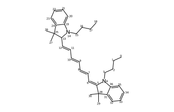 CCCCN1C(=CC=CC=CC=CC2N(CCCC)c3ccccc3C2(C)C)C(C)(C)c2ccccc21